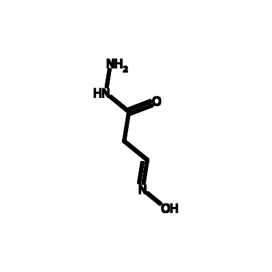 NNC(=O)CC=NO